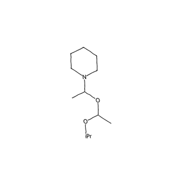 CC(C)OC(C)OC(C)N1CCCCC1